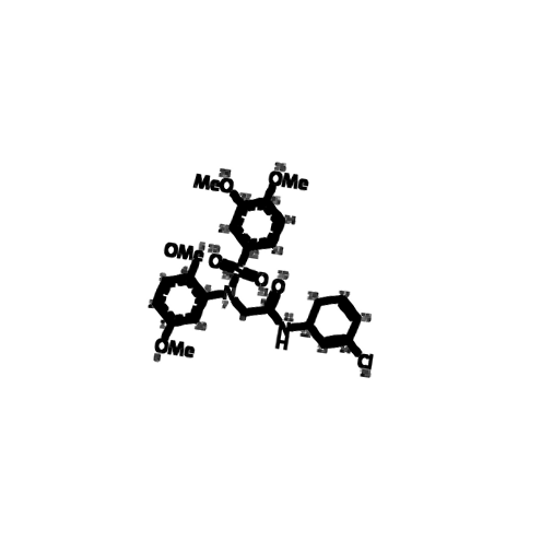 COc1ccc(OC)c(N(CC(=O)NC2C=C(Cl)C=CC2)S(=O)(=O)c2ccc(OC)c(OC)c2)c1